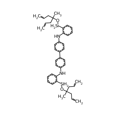 C=CCC(C)(CC=C)O[SiH2]c1ccccc1Nc1ccc(-c2ccc(Nc3ccccc3[SiH2]OC(C)(CC=C)CC=C)cc2)cc1